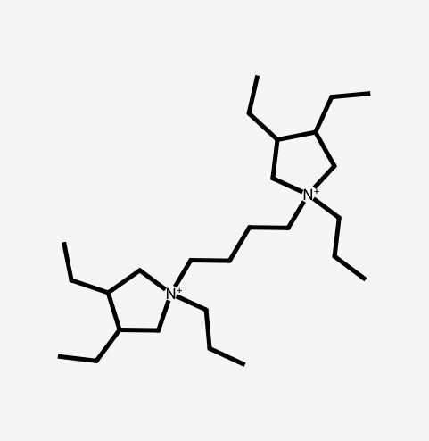 CCC[N+]1(CCCC[N+]2(CCC)CC(CC)C(CC)C2)CC(CC)C(CC)C1